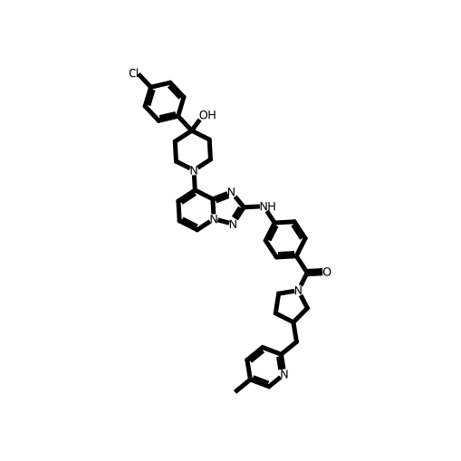 Cc1ccc(CC2CCN(C(=O)c3ccc(Nc4nc5c(N6CCC(O)(c7ccc(Cl)cc7)CC6)cccn5n4)cc3)C2)nc1